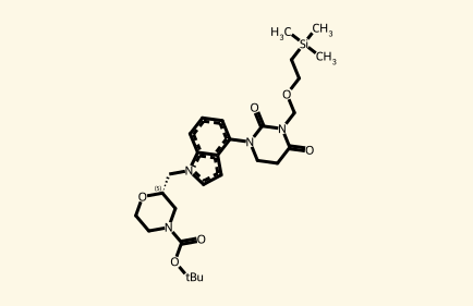 CC(C)(C)OC(=O)N1CCO[C@H](Cn2ccc3c(N4CCC(=O)N(COCC[Si](C)(C)C)C4=O)cccc32)C1